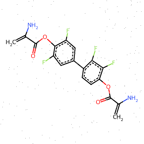 C=C(N)C(=O)Oc1ccc(-c2cc(F)c(OC(=O)C(=C)N)c(F)c2)c(F)c1F